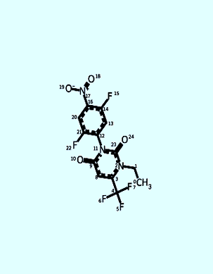 CCn1c(C(F)(F)F)cc(=O)n(-c2cc(F)c([N+](=O)[O-])cc2F)c1=O